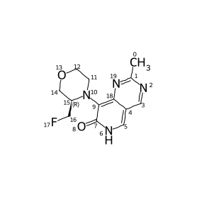 Cc1ncc2c[nH]c(=O)c(N3CCOC[C@@H]3CF)c2n1